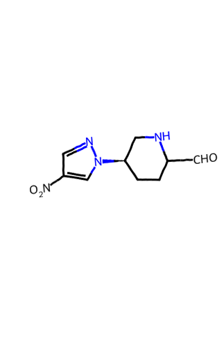 O=CC1CC[C@@H](n2cc([N+](=O)[O-])cn2)CN1